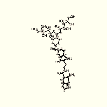 CCn1c(CCNC(=O)c2nc3cc[nH]c3nc2N)[n+](CC)c2ccc(C(=O)N3CCC(N(C[C@H](O)[C@@H](O)[C@H](O)[C@H](O)CO)C[C@H](O)[C@@H](O)[C@H](O)[C@H](O)CO)CC3)cc21